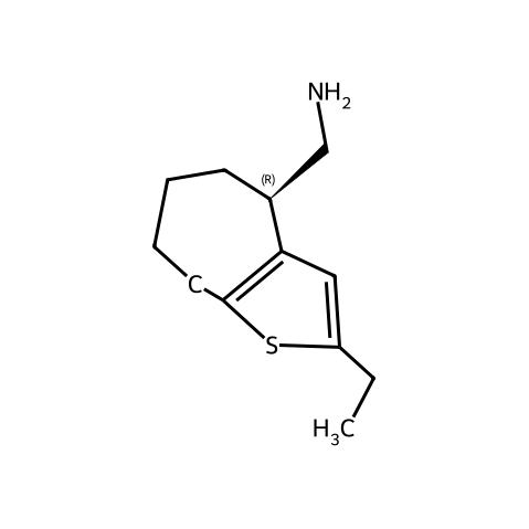 CCc1cc2c(s1)CCCC[C@H]2CN